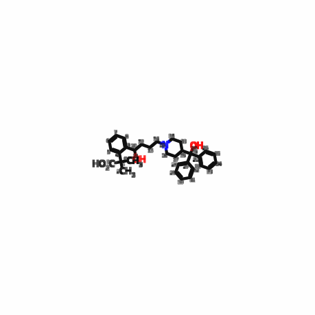 CC(C)(C(=O)O)c1ccccc1C(O)CCCN1CCC(C(O)(c2ccccc2)c2ccccc2)CC1